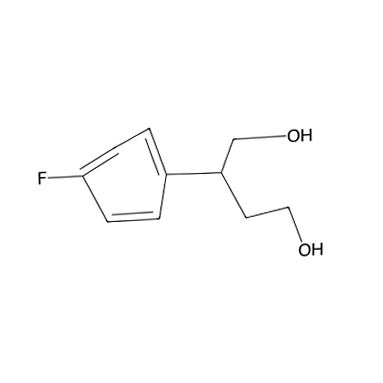 OCCC(CO)c1ccc(F)cc1